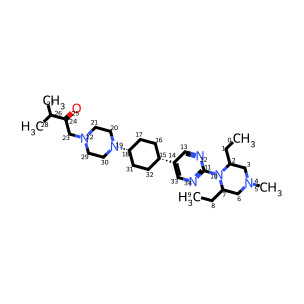 CCC1CN(C)CC(CC)N1c1ncc([C@H]2CC[C@@H](N3CCN(CC(=O)C(C)C)CC3)CC2)cn1